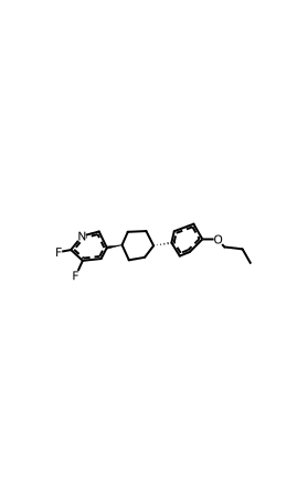 CCCOc1ccc([C@H]2CC[C@H](c3cnc(F)c(F)c3)CC2)cc1